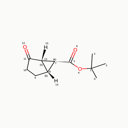 CC(C)(C)OC(=O)[C@@H]1[C@@H]2CCC(=O)[C@@H]21